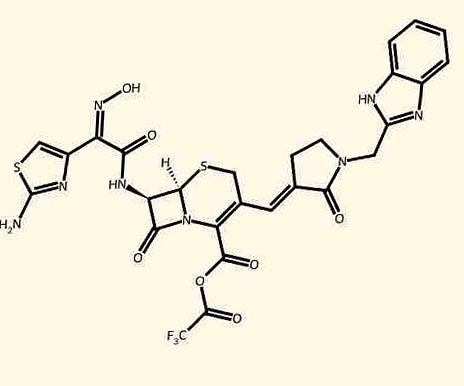 Nc1nc(/C(=N/O)C(=O)N[C@@H]2C(=O)N3C(C(=O)OC(=O)C(F)(F)F)=C(C=C4CCN(Cc5nc6ccccc6[nH]5)C4=O)CS[C@H]23)cs1